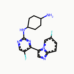 NC1CCC(Nc2ncc(F)c(-c3cnc4ccc(F)cn34)n2)CC1